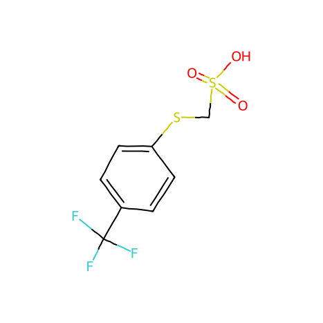 O=S(=O)(O)CSc1ccc(C(F)(F)F)cc1